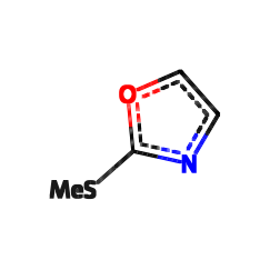 [CH2]Sc1ncco1